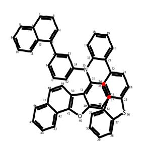 c1cc(-c2cccc3ccccc23)cc(N(c2ccccc2-c2ccc3sc4ccccc4c3c2)c2cccc3oc4c5ccccc5ccc4c23)c1